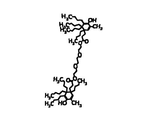 CCCCC1=C(O)C(C)=CC(CCCC)(CCC(=O)OCCOCCOCCOC(=O)CCC2(CCCC)C=C(C)C(O)=C(CCCC)C2(CCCC)CCCC)C1(CCCC)CCCC